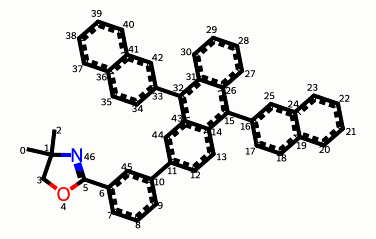 CC1(C)COC(c2cccc(-c3ccc4c(-c5ccc6ccccc6c5)c5ccccc5c(-c5ccc6ccccc6c5)c4c3)c2)=N1